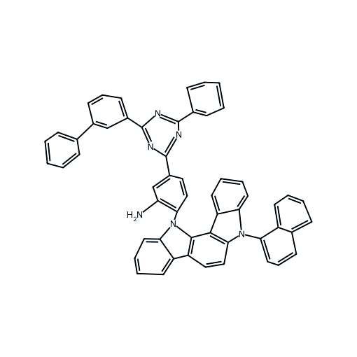 Nc1cc(-c2nc(-c3ccccc3)nc(-c3cccc(-c4ccccc4)c3)n2)ccc1-n1c2ccccc2c2ccc3c(c4ccccc4n3-c3cccc4ccccc34)c21